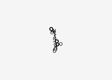 Cc1c(OCCSc2nc3ccccc3o2)ccc2c(=O)cc(N3CCOCC3)oc12